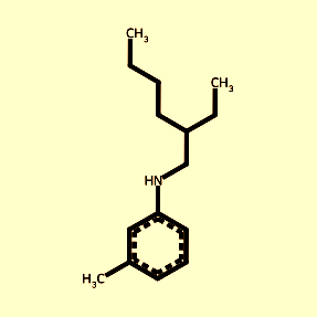 CCCCC(CC)CNc1cccc(C)c1